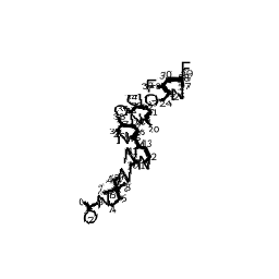 CC(=O)N1CCC2(C1)CN(c1nccc(-c3cc(-n4c(C)cc(OCc5ncc(F)cc5F)c(Cl)c4=O)c(C)cn3)n1)C2